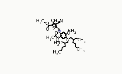 CCCCC(CC)CN(CC(CC)CCCC)c1cc(NC(C)=O)c(/N=N/c2sc(C(=O)OCC)c(C)c2C#N)cc1OC